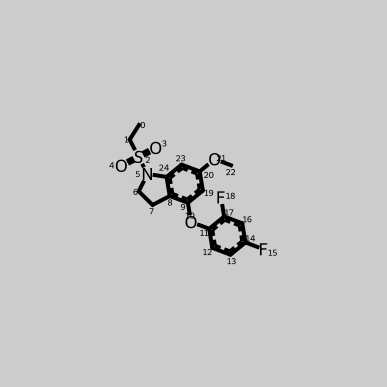 CCS(=O)(=O)N1CCc2c(Oc3ccc(F)cc3F)cc(OC)cc21